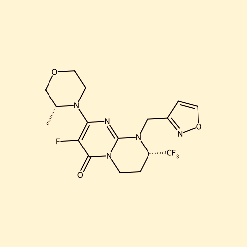 C[C@@H]1COCCN1c1nc2n(c(=O)c1F)CC[C@@H](C(F)(F)F)N2Cc1ccon1